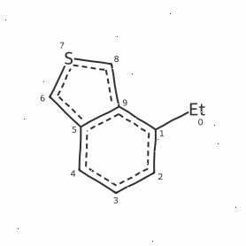 CCc1cccc2cscc12